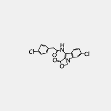 O=C(Cc1ccc(Cl)cc1)Nc1c2n(c3cc(Cl)ccc13)COC2=O